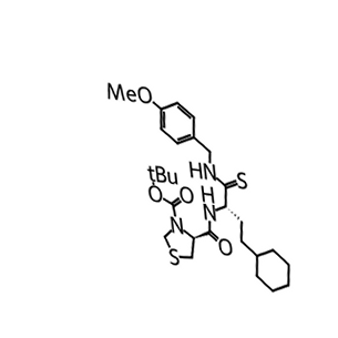 COc1ccc(CNC(=S)[C@H](CCC2CCCCC2)NC(=O)[C@H]2CSCN2C(=O)OC(C)(C)C)cc1